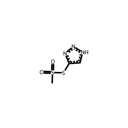 CS(=O)(=O)Sc1c[nH]nn1